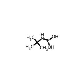 CC(C)(C)NP(O)O